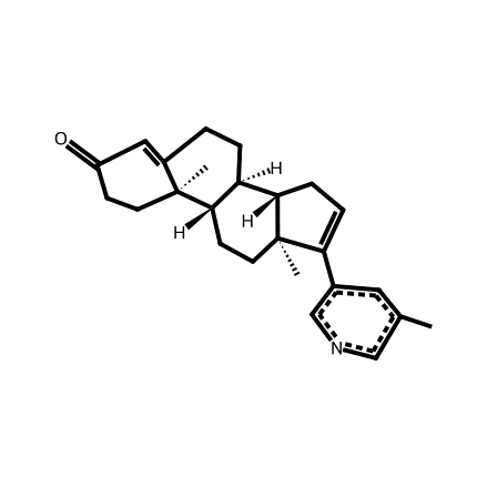 Cc1cncc(C2=CC[C@H]3[C@@H]4CCC5=CC(=O)CC[C@]5(C)[C@H]4CC[C@]23C)c1